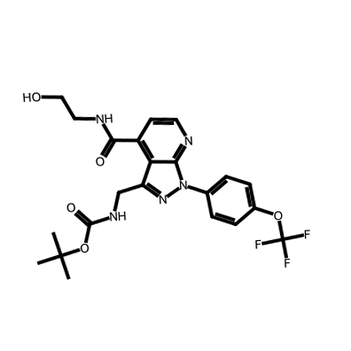 CC(C)(C)OC(=O)NCc1nn(-c2ccc(OC(F)(F)F)cc2)c2nccc(C(=O)NCCO)c12